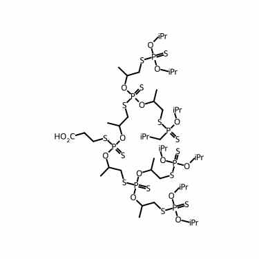 CC(C)CP(=S)(OC(C)C)SCC(C)OP(=S)(OC(C)CSP(=S)(OC(C)C)OC(C)C)SCC(C)OP(=S)(OC(C)CSP(=S)(OC(C)CSP(=S)(OC(C)C)OC(C)C)OC(C)CSP(=S)(OC(C)C)OC(C)C)SCCC(=O)O